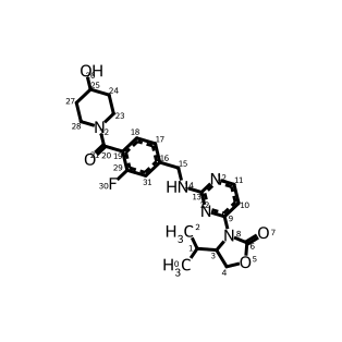 CC(C)C1COC(=O)N1c1ccnc(NCc2ccc(C(=O)N3CCC(O)CC3)c(F)c2)n1